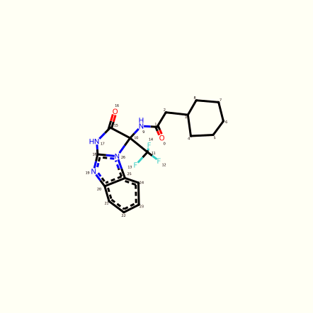 O=C(CC1CCCCC1)NC1(C(F)(F)F)C(=O)Nc2nc3ccccc3n21